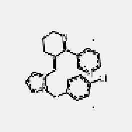 Clc1ccc(Cn2cccc2C=C2CCCN=C2c2cccnc2)cc1